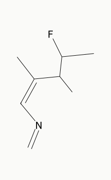 C=N/C=C(/C)C(C)C(C)F